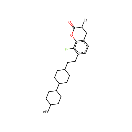 CCCC1CCC(C2CCC(CCc3ccc4c(c3F)OC(=O)C(CC)C4)CC2)CC1